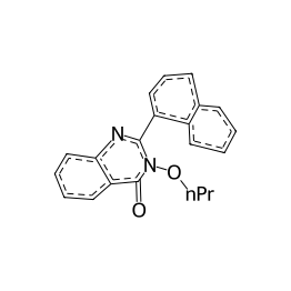 CCCOn1c(-c2cccc3ccccc23)nc2ccccc2c1=O